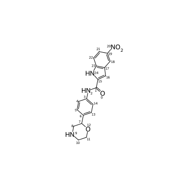 O=C(Nc1ccc(C2CNCCO2)cc1)c1cc2cc([N+](=O)[O-])ccc2[nH]1